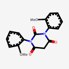 COc1ccccc1N1C(=O)CC(=O)N(c2ccccc2OC)C1=O